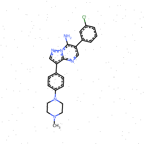 CN1CCN(c2ccc(-c3cnn4c(N)c(-c5cccc(Cl)c5)cnc34)cc2)CC1